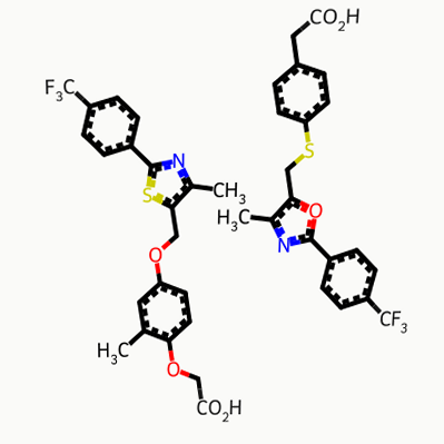 Cc1cc(OCc2sc(-c3ccc(C(F)(F)F)cc3)nc2C)ccc1OCC(=O)O.Cc1nc(-c2ccc(C(F)(F)F)cc2)oc1CSc1ccc(CC(=O)O)cc1